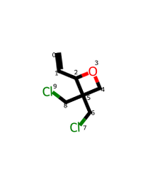 C=CC1OCC1(CCl)CCl